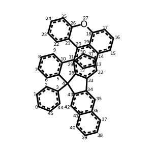 c1ccc(C2(c3ccccc3-c3ccc4cccc5c4c3-c3ccccc3O5)c3ccccc3-c3cc4ccccc4cc32)cc1